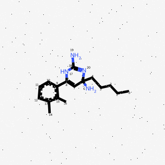 CCCCCC1(N)C=C(c2cccc(C)c2C)NC(N)=N1